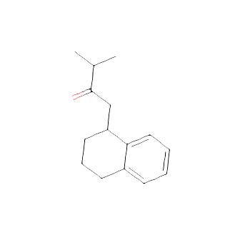 CC(C)C(=O)CC1CCCc2ccccc21